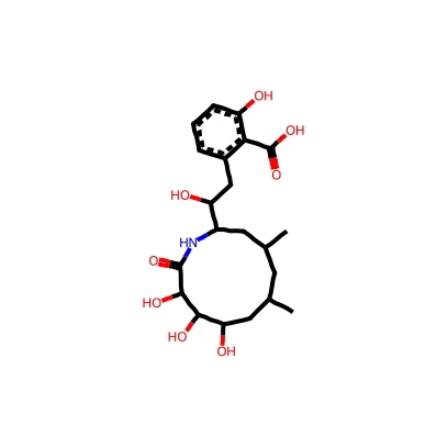 CC1CC(C)CC(C(O)Cc2cccc(O)c2C(=O)O)NC(=O)C(O)C(O)C(O)C1